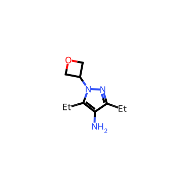 CCc1nn(C2COC2)c(CC)c1N